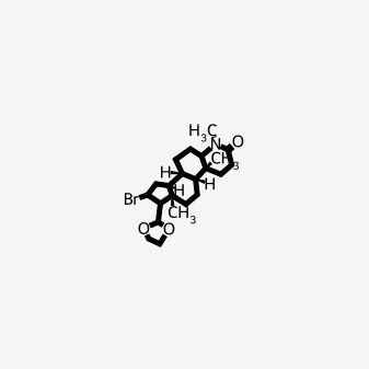 CN1C(=O)CC[C@@]2(C)C1CC[C@@H]1[C@H]2CC[C@]2(C)C(C3OCCO3)C(Br)C[C@@H]12